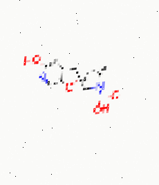 C[C@H]1C[C@]2(Cc3cc(O)ncc3O2)CN1C(=O)O